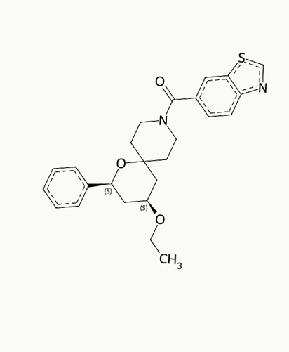 CCO[C@H]1C[C@@H](c2ccccc2)OC2(CCN(C(=O)c3ccc4ncsc4c3)CC2)C1